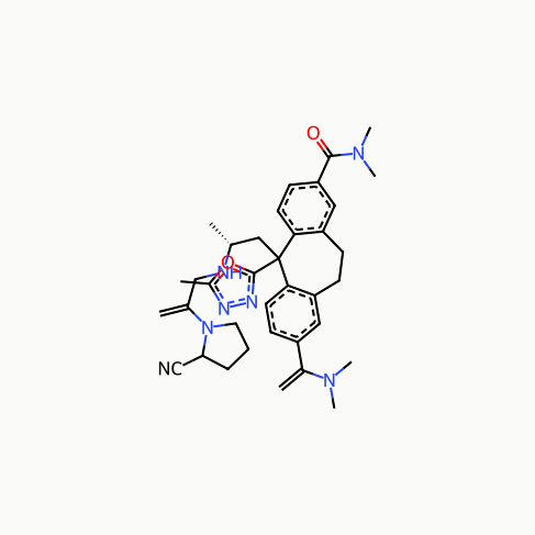 C=C(c1ccc2c(c1)CCc1cc(C(=O)N(C)C)ccc1C2(C[C@@H](C)NCC(=C)N1CCCC1C#N)c1nnc(C)o1)N(C)C